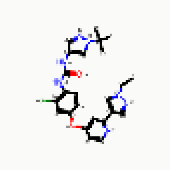 CCn1cc(-c2cc(Oc3ccc(NC(=O)Nc4cnn(C(C)(C)C)c4)c(F)c3)ccn2)cn1